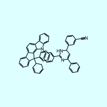 N#Cc1cccc(C2C=C(c3ccccc3)N=C(c3cccc(-n4c5ccccc5c5ccc6c(c54)C(c4ccccc4)(C4C=CC=CC4)c4ccccc4-6)c3)N2)c1